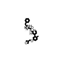 Cc1ccc(OCC2COC2)cc1-c1ccnc(NC(=O)c2nnc(Cc3ccccc3)[nH]2)c1